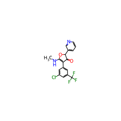 CNC1=C(c2cc(Cl)cc(C(F)(F)F)c2)C(=O)C(c2cccnc2)O1